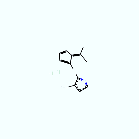 CC(C)=C1C=CC=[C]1[Ti+2][c]1[nH]ccc1C(C)(C)C.[Cl-].[Cl-]